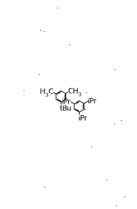 CC(C)c1cc(C(C)C)cc(C(C)C)c1.Cc1cc(C)cc(C(C)(C)C)c1